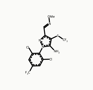 CO/N=C/c1nn(-c2c(Cl)cc(C(F)(F)F)cc2Cl)c(N)c1SC(F)(F)F